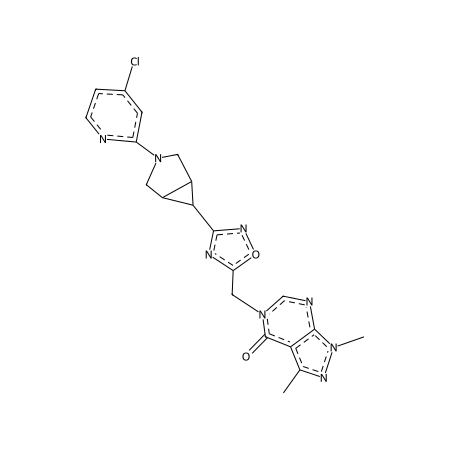 Cc1nn(C)c2ncn(Cc3nc(C4C5CN(c6cc(Cl)ccn6)CC54)no3)c(=O)c12